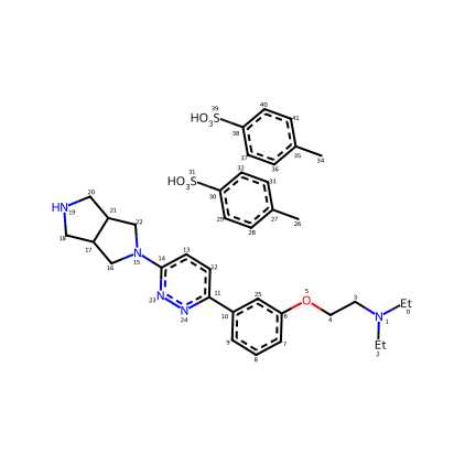 CCN(CC)CCOc1cccc(-c2ccc(N3CC4CNCC4C3)nn2)c1.Cc1ccc(S(=O)(=O)O)cc1.Cc1ccc(S(=O)(=O)O)cc1